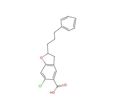 O=C(O)c1cc2c(cc1Cl)OC(CCCc1ccccc1)C2